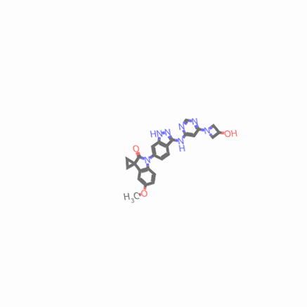 COc1ccc2c(c1)C1(CC1)C(=O)N2c1ccc2c(Nc3cc(N4CC(O)C4)ncn3)n[nH]c2c1